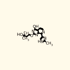 Cc1nc(-c2nccc3c(O)nc(OCCC(C)(C)O)nc23)c[nH]1